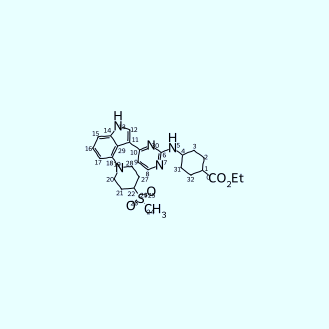 CCOC(=O)C1CCC(Nc2nccc(-c3c[nH]c4cccc(N5CCC(S(C)(=O)=O)CC5)c34)n2)CC1